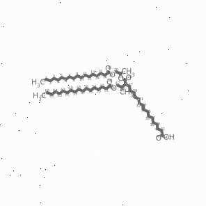 CCCCCCCCCCCCCCCCCC(=O)OCC(C)OC(=O)C(CCCCCCC=CCCCCCCCC(=O)O)C(C)COC(=O)CCCCCCCCCCCCCCCCC